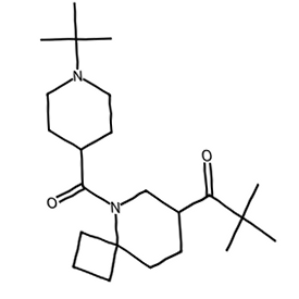 CC(C)(C)C(=O)C1CCC2(CCC2)N(C(=O)C2CCN(C(C)(C)C)CC2)C1